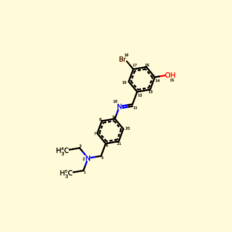 CCN(CC)Cc1ccc(N=Cc2cc(O)cc(Br)c2)cc1